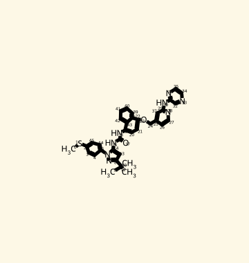 CSc1ccc(-n2nc(C(C)(C)C)cc2NC(=O)Nc2ccc(OCc3ccnc(Nc4cnccn4)c3)c3ccccc23)cc1